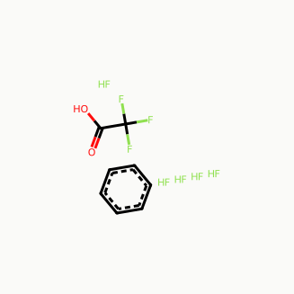 F.F.F.F.F.O=C(O)C(F)(F)F.c1ccccc1